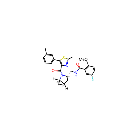 COc1ccc(F)cc1C(=O)NC[C@@H]1C[C@@H]2C[C@@H]2N1C(=O)c1nc(C)sc1-c1cccc(C)c1